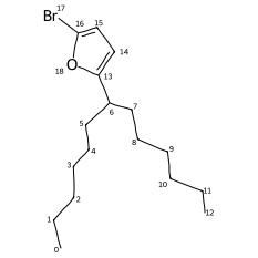 CCCCCCC(CCCCCC)c1ccc(Br)o1